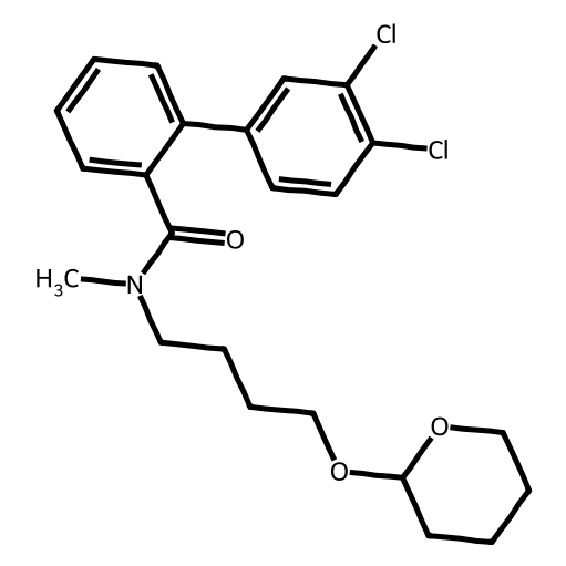 CN(CCCCOC1CCCCO1)C(=O)c1ccccc1-c1ccc(Cl)c(Cl)c1